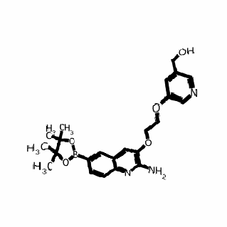 CC1(C)OB(c2ccc3nc(N)c(OCCOc4cncc(CO)c4)cc3c2)OC1(C)C